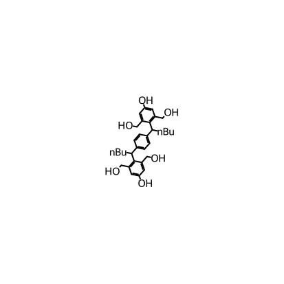 CCCCC(c1ccc(C(CCCC)c2c(CO)cc(O)cc2CO)cc1)c1c(CO)cc(O)cc1CO